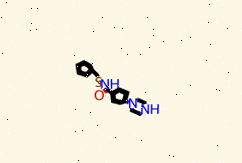 O=C(NSCc1ccccc1)c1ccc(N2CCNCC2)cc1